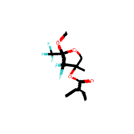 C=C(C)C(=O)OC1(C)COC(OC)(C(F)(F)F)C1(F)F